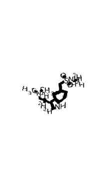 [2H]c1[nH]c2ccc(CS(=O)(=O)NC([2H])([2H])[2H])cc2c1C([2H])([2H])CN(C)C